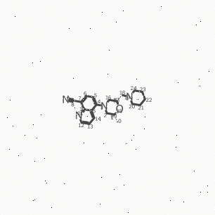 C[C@@H]1CN(c2ccc(C#N)c3ncccc23)C[C@H](CN2CCCCC2)O1